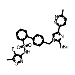 CCCCc1nc(-c2ccc(C)nn2)cn1Cc1ccc(-c2ccccc2S(=O)(=O)Nc2noc(C)c2F)cc1